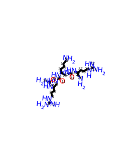 N=C(N)NCCCC(CNC(=O)NC(CCCCN)CNC(=O)NC(CN)CCCNC(=N)N)NC(N)=O